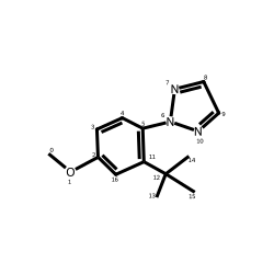 COc1ccc(-n2nccn2)c(C(C)(C)C)c1